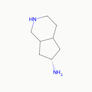 N[C@H]1CC2CCNCC2C1